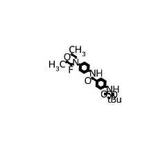 CC1CN(c2ccc(NC(=O)c3ccc(NS(=O)(=O)C(C)(C)C)cc3)cc2)C(F)C(C)O1